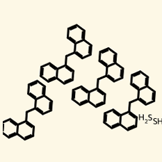 S.S.c1ccc2c(Cc3cccc4ccccc34)cccc2c1.c1ccc2c(Cc3cccc4ccccc34)cccc2c1.c1ccc2c(Cc3cccc4ccccc34)cccc2c1.c1ccc2c(Cc3cccc4ccccc34)cccc2c1